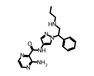 CCCNCC(c1ccccc1)n1cc(NC(=O)c2nccnc2N)cn1